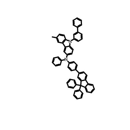 Cc1ccc2c(c1)c1cc(N(c3ccccc3)c3ccc(-c4ccc5c(c4)C(c4ccccc4)(c4ccccc4)c4ccccc4-5)cc3)ccc1n2-c1cccc(-c2ccccc2)c1